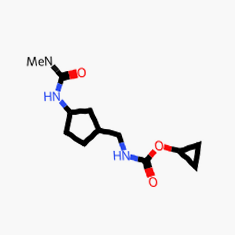 CNC(=O)NC1CCC(CNC(=O)OC2CC2)C1